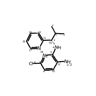 CC(C)[C@H](Nc1nc(Cl)ccc1N)c1ccccn1